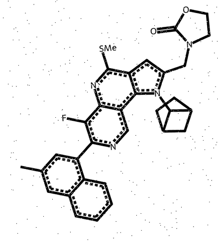 CSc1nc2c(F)c(-c3cc(C)cc4ccccc34)ncc2c2c1cc(CN1CCOC1=O)n2C1C2CCC1C2